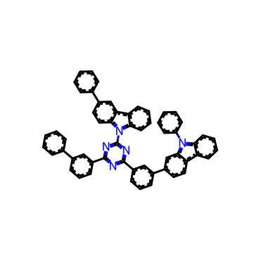 c1ccc(-c2cccc(-c3nc(-c4cccc(-c5ccc6c7ccccc7n(-c7ccccc7)c6c5)c4)nc(-n4c5ccccc5c5cc(-c6ccccc6)ccc54)n3)c2)cc1